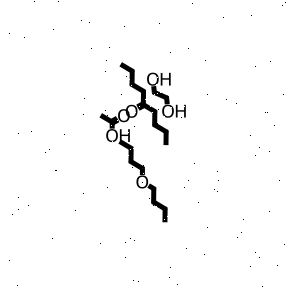 CC(=O)O.CCCCC(=O)CCCC.CCCCOCCCC.OCCO